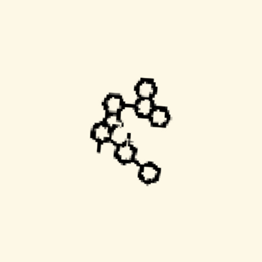 Cc1ccc2c(oc3c(-c4cc5ccccc5c5ccccc45)cccc32)c1-c1ccc(-c2ccccc2)c[n+]1C